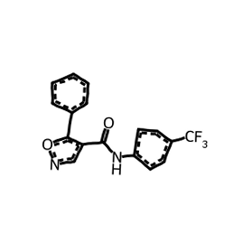 O=C(Nc1ccc(C(F)(F)F)cc1)c1cnoc1-c1ccccc1